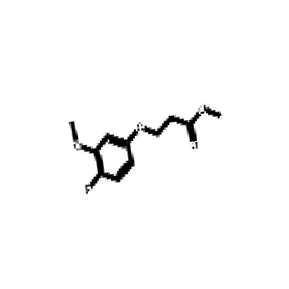 COC(=O)CCOc1ccc(F)c(OC)c1